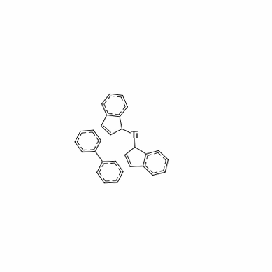 C1=C[CH]([Ti][CH]2C=Cc3ccccc32)c2ccccc21.c1ccc(-c2ccccc2)cc1